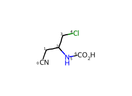 N#CCC(CCl)NC(=O)O